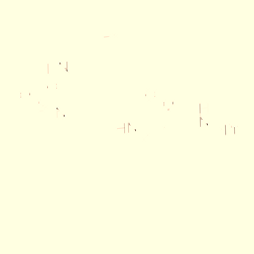 CCc1c[nH]c2c(N3CCCS3(=O)=O)cc(C(=O)N[C@@H](Cc3ccccc3)[C@H](O)CNC(C)C)cc12